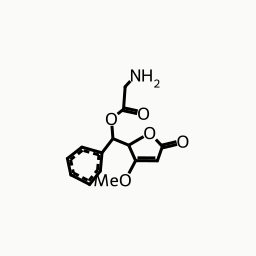 COC1=CC(=O)OC1C(OC(=O)CN)c1ccccc1